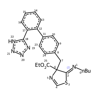 CCCC/N=C1\SC=NC1(Cc1ccc(-c2ccccc2-c2nnn[nH]2)cc1)C(=O)OCC